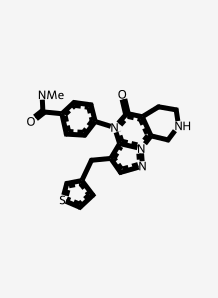 CNC(=O)c1ccc(-n2c(=O)c3c(n4ncc(Cc5ccsc5)c24)CNCC3)cc1